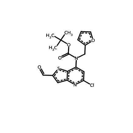 CC(C)(C)OC(=O)N(Cc1ccco1)c1cc(Cl)nc2cc(C=O)sc12